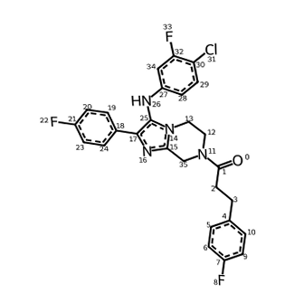 O=C(CCc1ccc(F)cc1)N1CCn2c(nc(-c3ccc(F)cc3)c2Nc2ccc(Cl)c(F)c2)C1